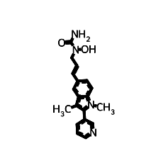 Cc1c(-c2cccnc2)n(C)c2ccc(C=CCN(O)C(N)=O)cc12